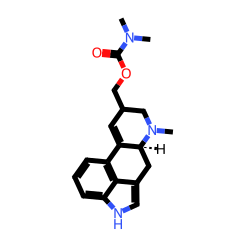 CN(C)C(=O)OCC1C=C2c3cccc4[nH]cc(c34)C[C@@H]2N(C)C1